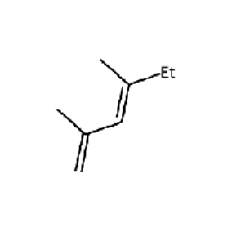 C=C(C)C=C(C)CC